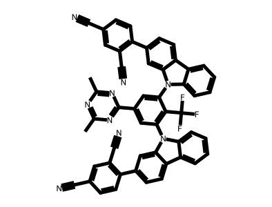 Cc1nc(C)nc(-c2cc(-n3c4ccccc4c4ccc(-c5ccc(C#N)cc5C#N)cc43)c(C(F)(F)F)c(-n3c4ccccc4c4ccc(-c5ccc(C#N)cc5C#N)cc43)c2)n1